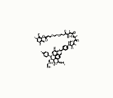 C[C@H](NC(=O)CCOCCOCCC(=O)Oc1c(F)c(F)cc(F)c1F)C(=O)N[C@@H](C)C(=O)N[C@@H](C)C(=O)Nc1ccc(COC(=O)NCN2c3cc(F)cc(C(N)=O)c3C(=N)[C@H](CNC=N)[C@H]2c2ccc(F)cc2)cc1